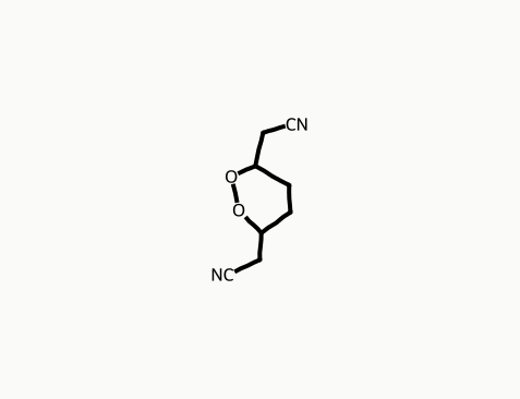 N#CCC1CCC(CC#N)OO1